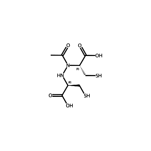 CC(=O)N(N[C@@H](CS)C(=O)O)[C@@H](CS)C(=O)O